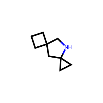 C1CC2(C1)CNC1(CC1)C2